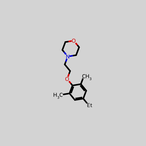 CCc1cc(C)c(OCCN2CCOCC2)c(C)c1